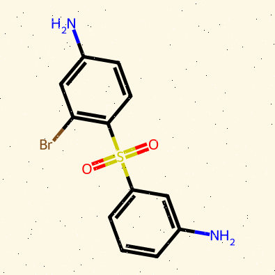 Nc1cccc(S(=O)(=O)c2ccc(N)cc2Br)c1